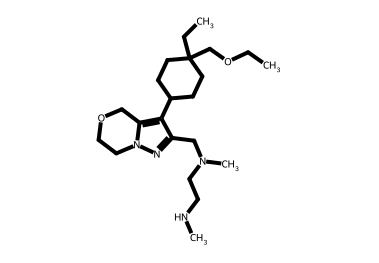 CCOCC1(CC)CCC(c2c(CN(C)CCNC)nn3c2COCC3)CC1